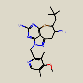 COc1c(C)cnc(Cn2nc3c4c(nc(N)nc42)SC(CC(C)(C)C)C(N)C3)c1C